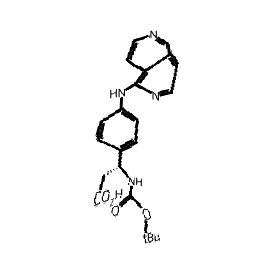 CC(C)(C)OC(=O)N[C@H](CC(=O)O)c1ccc(Nc2nccc3cnccc23)cc1